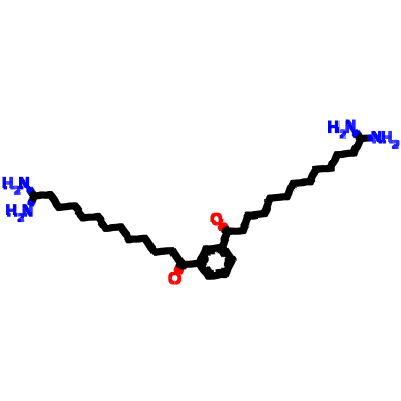 NC(N)CCCCCCCCCCCC(=O)c1cccc(C(=O)CCCCCCCCCCCC(N)N)c1